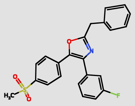 CS(=O)(=O)c1ccc(-c2oc(Cc3ccccc3)nc2-c2cccc(F)c2)cc1